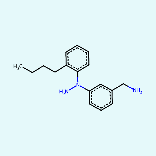 CCCCc1ccccc1N(N)c1cccc(CN)c1